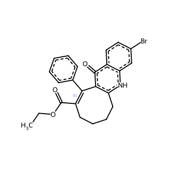 CCOC(=O)/C1=C(\c2ccccc2)c2c([nH]c3cc(Br)ccc3c2=O)CCCC1